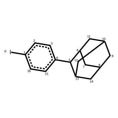 Ic1ccc(C2C3CC4CC(C3)CC2C4)cc1